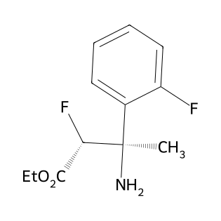 CCOC(=O)[C@H](F)[C@](C)(N)c1ccccc1F